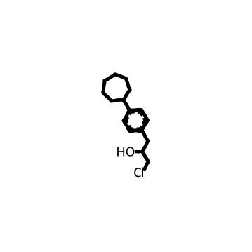 OC(CCl)Cc1ccc(C2CCCCCC2)cc1